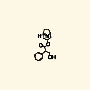 CN1C2CC[C@@H]1CC(OC(=O)C(CO)c1ccccc1)C2